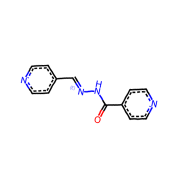 O=C(N/N=C/c1ccncc1)c1ccncc1